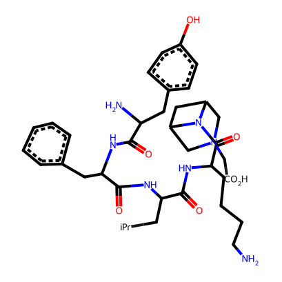 CC(C)CC(NC(=O)C(Cc1ccccc1)NC(=O)C(N)Cc1ccc(O)cc1)C(=O)NC(CCCCN)C(=O)N1C2CC1CN(CC(=O)O)C2